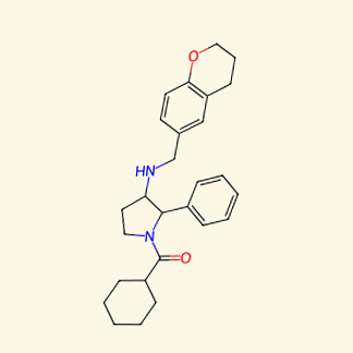 O=C(C1CCCCC1)N1CCC(NCc2ccc3c(c2)CCCO3)C1c1ccccc1